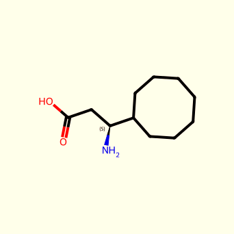 N[C@@H](CC(=O)O)C1CCCCCCC1